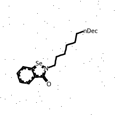 CCCCCCCCCCCCCCCCn1[se]c2ccccc2c1=O